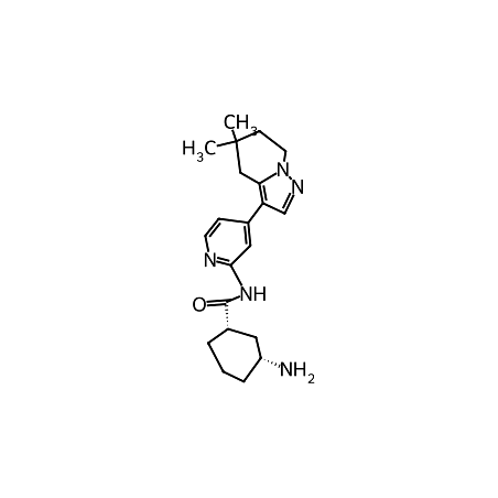 CC1(C)CCn2ncc(-c3ccnc(NC(=O)[C@H]4CCC[C@@H](N)C4)c3)c2C1